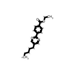 CCCCCc1cnc(-c2ccc(C(=O)OCC)cc2)nc1